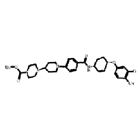 CC(C)(C)OC(=O)N1CCN(C2CCN(c3ccc(C(=O)N[C@H]4CC[C@H](Oc5ccc(C#N)c(Cl)c5)CC4)cc3)CC2)CC1